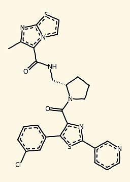 Cc1nc2sccn2c1C(=O)NC[C@@H]1CCCN1C(=O)c1nc(-c2cccnc2)sc1-c1cccc(Cl)c1